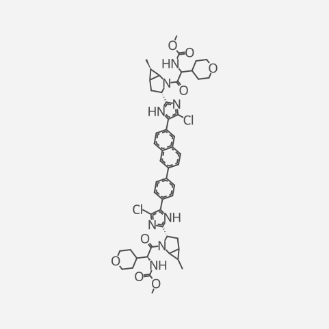 COC(=O)NC(C(=O)N1C2C(C[C@H]1c1nc(Cl)c(-c3ccc4cc(-c5ccc(-c6[nH]c([C@@H]7CC8C(C)C8N7C(=O)[C@@H](NC(=O)OC)C7CCOCC7)nc6Cl)cc5)ccc4c3)[nH]1)[C@H]2C)C1CCOCC1